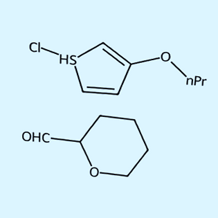 CCCOC1=C[SH](Cl)C=C1.O=CC1CCCCO1